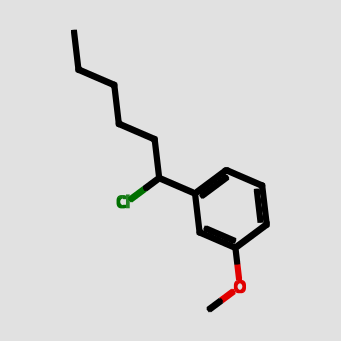 CCCCCC(Cl)c1cccc(OC)c1